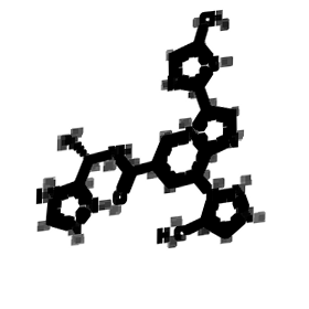 Cc1cnc(-c2cnc3c(-n4nncc4C)cc(C(=O)N[C@H](c4nnc[nH]4)C(C)C)cn23)s1